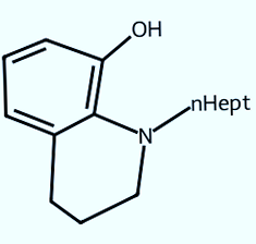 CCCCCCCN1CCCc2cccc(O)c21